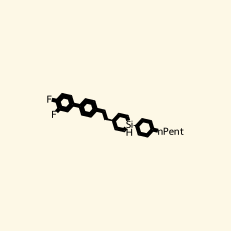 CCCCCC1CCC([Si@H]2CC[C@H](CCc3ccc(-c4ccc(F)c(F)c4)cc3)CC2)CC1